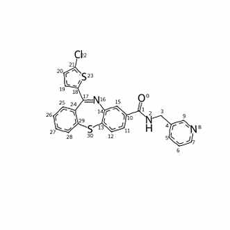 O=C(NCc1cccnc1)c1ccc2c(c1)N=C(c1ccc(Cl)s1)c1ccccc1S2